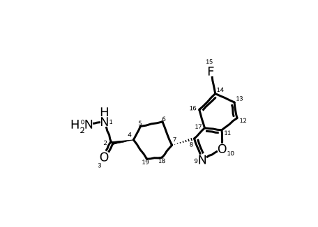 NNC(=O)[C@H]1CC[C@H](c2noc3ccc(F)cc32)CC1